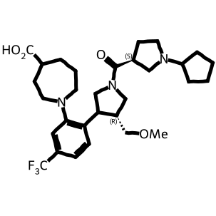 COC[C@H]1CN(C(=O)[C@H]2CCN(C3CCCC3)C2)CC1c1ccc(C(F)(F)F)cc1N1CCCC(C(=O)O)CC1